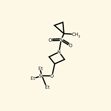 CC[Si](CC)(CC)OC1CN(S(=O)(=O)C2(C)CC2)C1